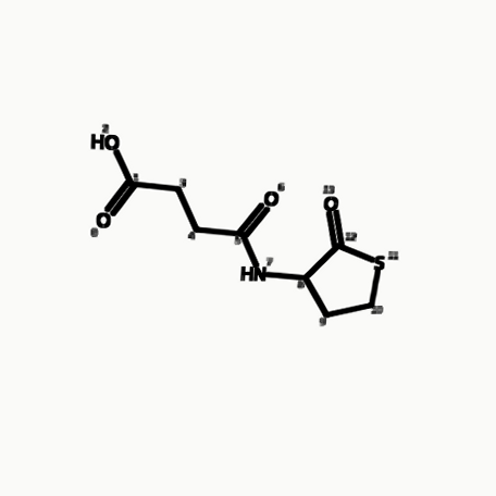 O=C(O)CCC(=O)NC1CCSC1=O